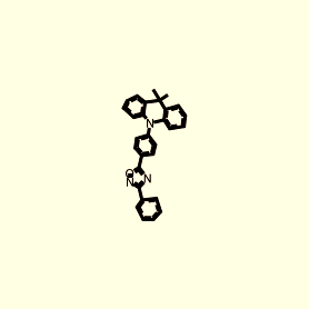 CC1(C)c2ccccc2N(c2ccc(-c3nc(-c4ccccc4)no3)cc2)c2ccccc21